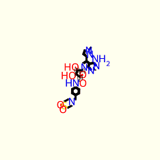 Cn1ccc(-c2cn([C@@H]3O[C@H](C(=O)Nc4ccc(CN5CCS(=O)(=O)CC5)cc4)[C@@H](O)[C@H]3O)c3ncnc(N)c23)n1